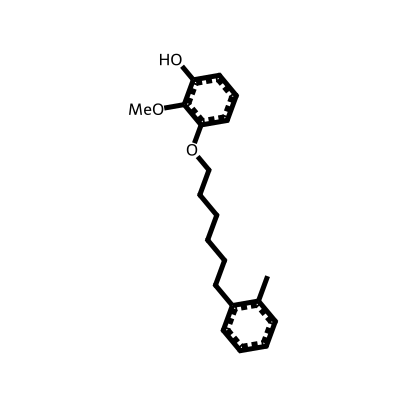 COc1c(O)cccc1OCCCCCCc1ccccc1C